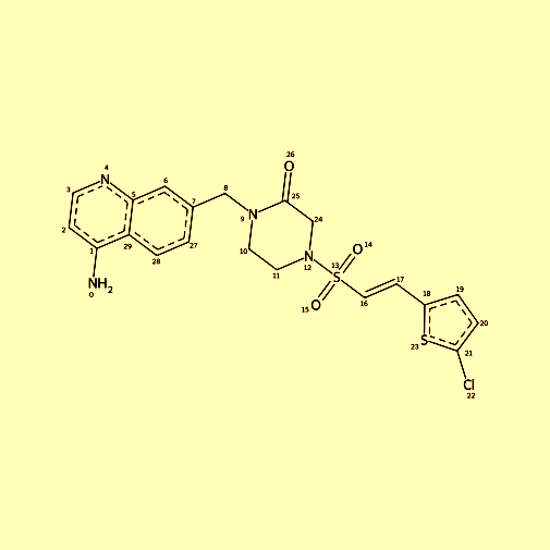 Nc1ccnc2cc(CN3CCN(S(=O)(=O)C=Cc4ccc(Cl)s4)CC3=O)ccc12